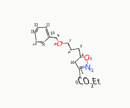 CCOC(=O)C1=NOC(CCCOCc2ccccc2)C1